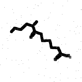 CCCCN(C)C(=O)CCCCCC(N)=O